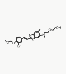 COCOc1ccc(C=Cc2nc3cc(C)c(N(C)CCOCCO)cc3s2)cc1Br